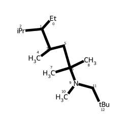 CCC(C(C)C)C(C)CC(C)(C)N(C)CC(C)(C)C